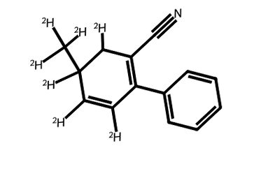 [2H]C1=C([2H])C([2H])(C([2H])([2H])[2H])C([2H])C(C#N)=C1c1ccccc1